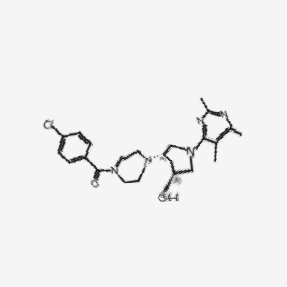 Cc1nc(C)c(C)c(N2C[C@@H](O)[C@H](N3CCN(C(=O)c4ccc(Cl)cc4)CC3)C2)n1